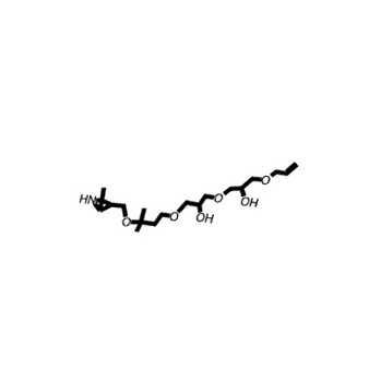 C=CCOCC(O)COCC(O)COCCC(C)(C)OCC1C2NC12C